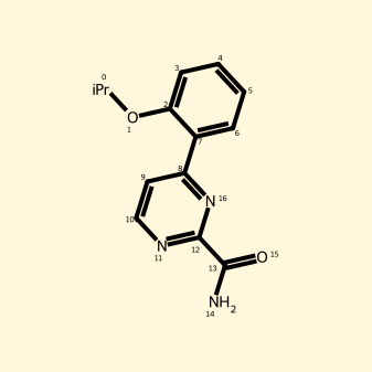 CC(C)Oc1ccccc1-c1c[c]nc(C(N)=O)n1